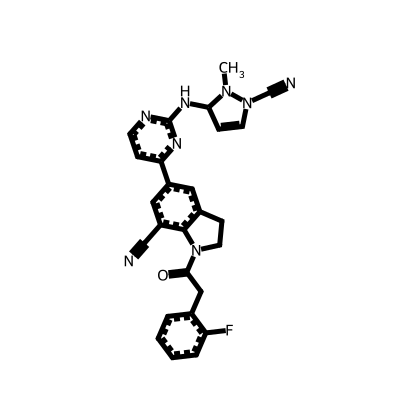 CN1C(Nc2nccc(-c3cc(C#N)c4c(c3)CCN4C(=O)Cc3ccccc3F)n2)C=CN1C#N